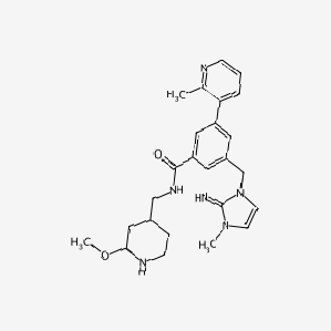 COC1CC(CNC(=O)c2cc(Cn3ccn(C)c3=N)cc(-c3cccnc3C)c2)CCN1